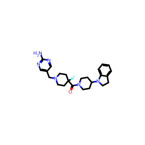 Nc1ncc(CN2CCC(F)(C(=O)N3CCC(N4CCc5ccccc54)CC3)CC2)cn1